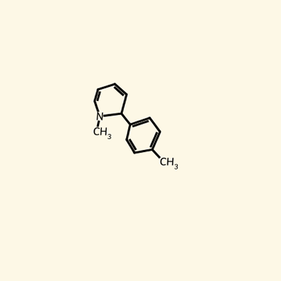 Cc1ccc(C2C=CC=CN2C)cc1